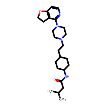 COC(C)CC(=O)NC1CCC(CCN2CCN(c3nccc4c3CCO4)CC2)CC1